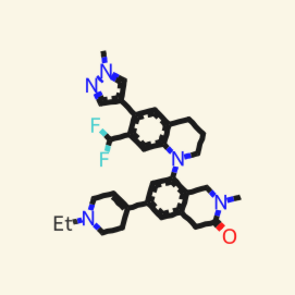 CCN1CC=C(c2cc3c(c(N4CCCc5cc(-c6cnn(C)c6)c(C(F)F)cc54)c2)CN(C)C(=O)C3)CC1